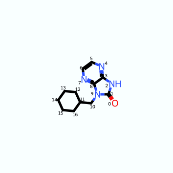 O=c1[nH]c2nccnc2n1CC1CCCCC1